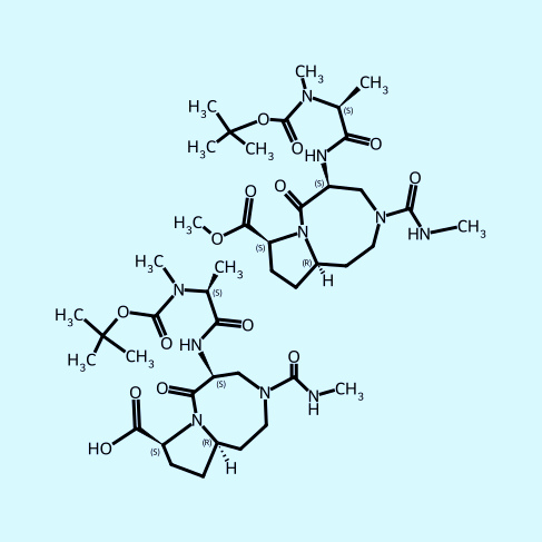 CNC(=O)N1CC[C@H]2CC[C@@H](C(=O)O)N2C(=O)[C@@H](NC(=O)[C@H](C)N(C)C(=O)OC(C)(C)C)C1.CNC(=O)N1CC[C@H]2CC[C@@H](C(=O)OC)N2C(=O)[C@@H](NC(=O)[C@H](C)N(C)C(=O)OC(C)(C)C)C1